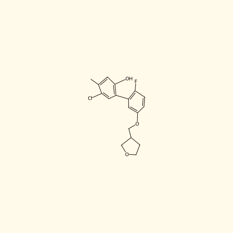 Cc1cc(O)c(-c2cc(OCC3CCOC3)ccc2F)cc1Cl